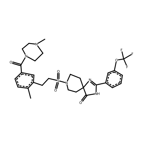 Cc1ccc(C(=O)N2CCN(C)CC2)cc1CCS(=O)(=O)N1CCC2(CC1)N=C(c1cccc(OC(F)(F)F)c1)NC2=O